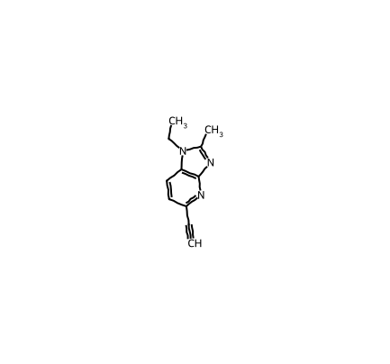 C#Cc1ccc2c(n1)nc(C)n2CC